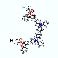 C=CC(=O)Oc1ccc(-c2ccc(N(c3ccccc3)c3ccc(-c4ccc(N(c5ccccc5)c5ccc(-c6ccc(OC(=O)C=C)c(-c7ccccc7)c6)cc5)cc4)cc3)cc2)cc1-c1ccccc1